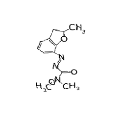 CON(C)C(=O)N=Nc1cccc2c1OC(C)C2